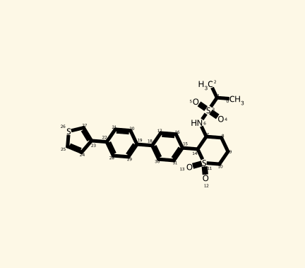 CC(C)S(=O)(=O)NC1CCCS(=O)(=O)C1c1ccc(-c2ccc(-c3ccsc3)cc2)cc1